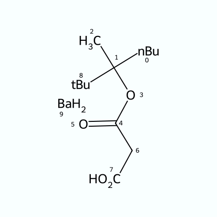 CCCCC(C)(OC(=O)CC(=O)O)C(C)(C)C.[BaH2]